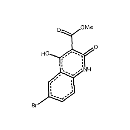 COC(=O)c1c(O)c2cc(Br)ccc2[nH]c1=O